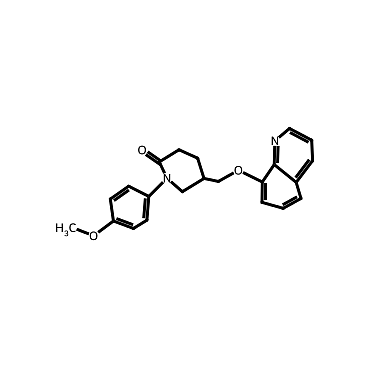 COc1ccc(N2CC(COc3cccc4cccnc34)CCC2=O)cc1